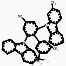 N#Cc1cc(-n2c3ccccc3c3ccc(C(F)(F)F)cc32)c(-c2cc(C(F)(F)F)cc(C(F)(F)F)c2)c(-n2c3ccccc3c3ccc(C(F)(F)F)cc32)c1